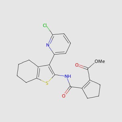 COC(=O)C1=C(C(=O)Nc2sc3c(c2-c2cccc(Cl)n2)CCCC3)CCC1